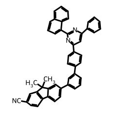 CC1(C)c2cc(C#N)ccc2-c2ccc(-c3cccc(-c4ccc(-c5cc(-c6ccccc6)nc(-c6cccc7ccccc67)n5)cc4)c3)cc21